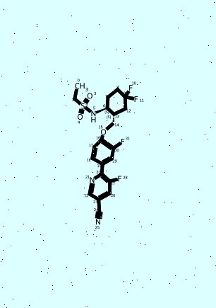 CCS(=O)(=O)N[C@H]1CCC(F)(F)C[C@@H]1COc1ccc(-c2ncc(C#N)cc2F)cc1F